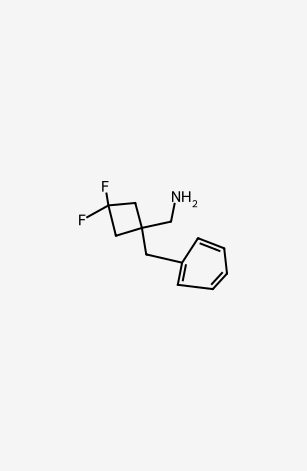 NCC1(Cc2ccccc2)CC(F)(F)C1